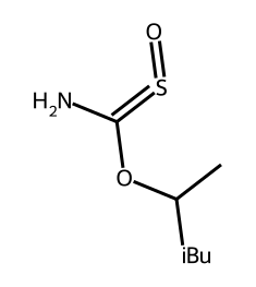 CCC(C)C(C)OC(N)=S=O